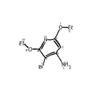 CCOc1cc(N)c(Br)c(OCC)n1